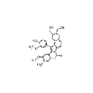 COc1cc2c(cc1C)oc(=O)c1c2c(-c2ccc(O)c(OC)c2)c2c3cc(CO)c(CO)cc3ccn21